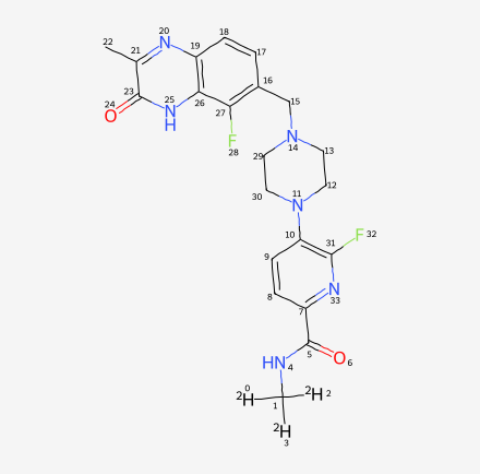 [2H]C([2H])([2H])NC(=O)c1ccc(N2CCN(Cc3ccc4nc(C)c(=O)[nH]c4c3F)CC2)c(F)n1